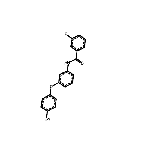 CC(C)c1ccc(Oc2cccc(NC(=O)c3cccc(F)c3)c2)cc1